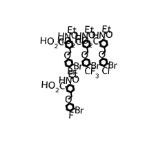 CCC(=O)Nc1ccc(COc2ccc(Br)c(Br)c2)cc1C(=O)O.CCC(=O)Nc1ccc(COc2ccc(C(F)(F)F)c(Br)c2)cc1C(=O)O.CCC(=O)Nc1ccc(COc2ccc(Cl)c(Br)c2)cc1C(=O)O.CCC(=O)Nc1ccc(COc2ccc(F)c(Br)c2)cc1C(=O)O